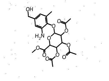 COC(=O)C1OC(Oc2c(C)cc(CO)cc2N)C(OC(C)=O)C(OC(C)=O)C1OC(C)=O